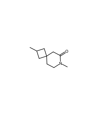 CC1CC2(CCN(C)C(=O)C2)C1